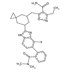 CCc1noc(CC2CC(c3nc4c(F)c(-c5ccccc5C(=O)N(C)C)ccc4[nH]3)CC3(CC3)C2)c1C(N)=O